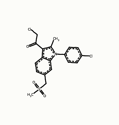 Cc1c(C(=O)CCl)c2ccc(CS(C)(=O)=O)cc2n1-c1ccc(Cl)cc1